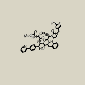 COC(=O)NC(C(=O)NC(Cc1ccc(-c2ccccn2)cc1)CC(O)C(Cc1ccccc1)NC(=O)C(N1CCN(Cc2csc(C(C)C)n2)C1=O)C(C)(C)C)C(C)(C)C